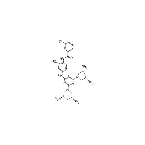 N[C@@H]1C[C@H](N)CN(c2nc(Nc3ccc(NC(=O)c4cccc(Cl)c4)c(O)c3)nc(N3C[C@H](N)C[C@H](N)C3)n2)C1